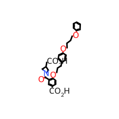 O=C(O)CC1CN(C(=O)c2cc(C(=O)O)ccc2OCCCc2ccc(OCCCCOc3ccccc3)cc2)C1